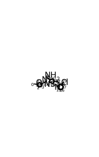 Cc1ccc(-c2nc(N)c3cc(Cc4ncccc4Cl)sc3n2)o1